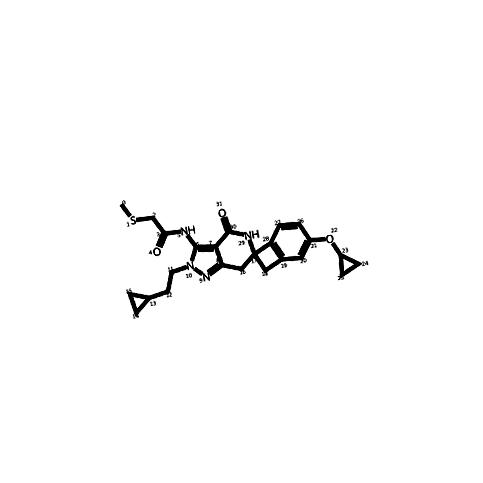 CSCC(=O)Nc1c2c(nn1CCC1CC1)CC1(Cc3cc(OC4CC4)ccc31)NC2=O